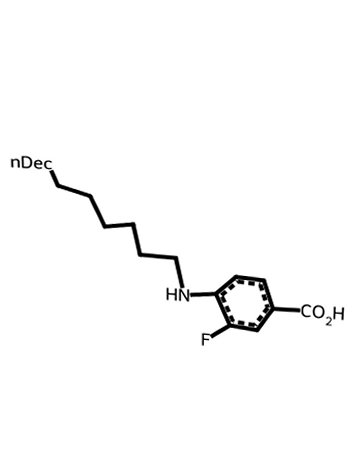 CCCCCCCCCCCCCCCCNc1ccc(C(=O)O)cc1F